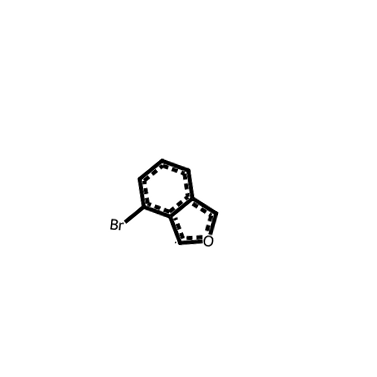 Brc1cccc2co[c]c12